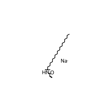 C=CC(=O)NC(C)(C)CCCCCCCCCCCCCCCCCC.[Na]